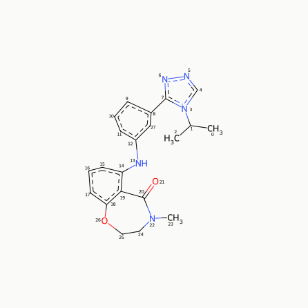 CC(C)n1cnnc1-c1cccc(Nc2cccc3c2C(=O)N(C)CCO3)c1